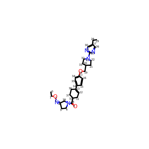 CCO/N=C1/CCN(C(=O)C2CC=C(c3ccc(OCC4CCN(c5ncc(CC)cn5)CC4)cc3)CC2)C1